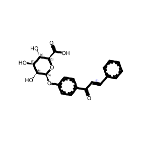 O=C(/C=C/c1ccccc1)c1ccc(O[C@@H]2O[C@H](C(=O)O)[C@@H](O)[C@H](O)[C@H]2O)cc1